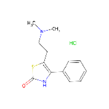 CN(C)CCc1sc(=O)[nH]c1-c1ccccc1.Cl